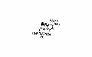 CCCCCc1c(C(C)(C)C)ccc(-c2c(C(=O)O)cc(C(C)(C)C)c(O)c2C(C)(C)C)c1C(C)(C)C